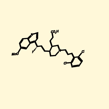 COc1ccc2nccc([C@@H](F)CCC3CCN(CCCc4c(Cl)cccc4Cl)CC3CCC(=O)O)c2c1